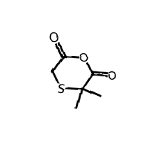 CC1(C)SCC(=O)OC1=O